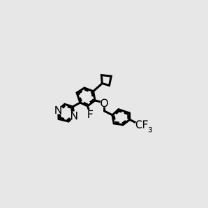 Fc1c(-c2cnccn2)ccc(C2CCC2)c1OCc1ccc(C(F)(F)F)cc1